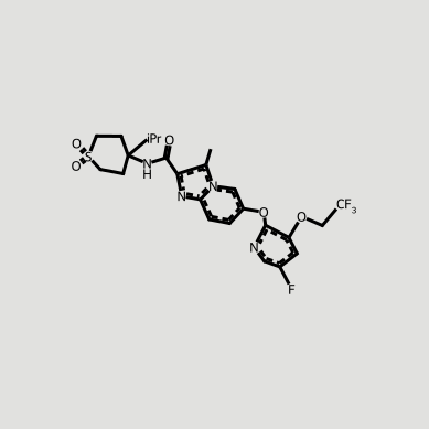 Cc1c(C(=O)NC2(C(C)C)CCS(=O)(=O)CC2)nc2ccc(Oc3ncc(F)cc3OCC(F)(F)F)cn12